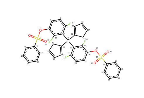 O=S(=O)(Oc1ccc(F)[c]([Ti]([C]2=CC=CC2)([C]2=CC=CC2)[c]2c(F)ccc(OS(=O)(=O)c3ccccc3)c2F)c1F)c1ccccc1